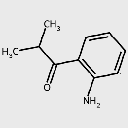 CC(C)C(=O)c1ccc[c]c1N